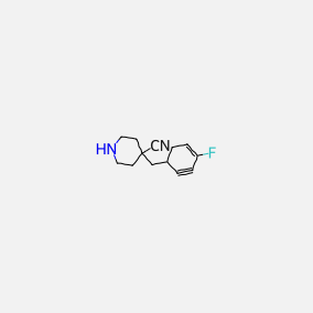 N#CC1(CC2C#CC(F)=CC2)CCNCC1